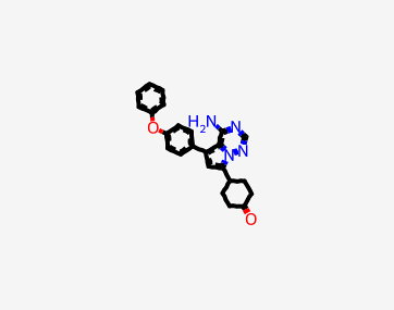 Nc1ncnn2c(C3CCC(=O)CC3)cc(-c3ccc(Oc4ccccc4)cc3)c12